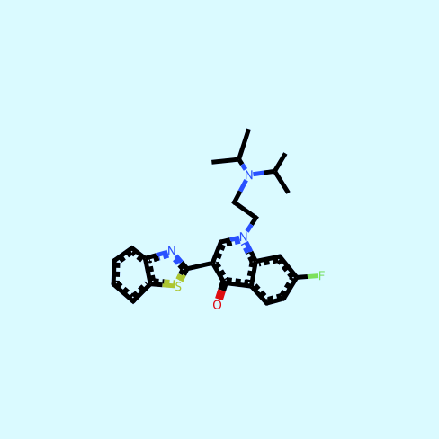 CC(C)N(CCn1cc(-c2nc3ccccc3s2)c(=O)c2ccc(F)cc21)C(C)C